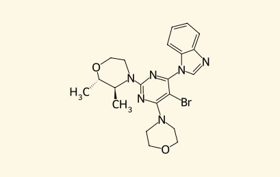 C[C@@H]1OCCN(c2nc(N3CCOCC3)c(Br)c(-n3cnc4ccccc43)n2)[C@H]1C